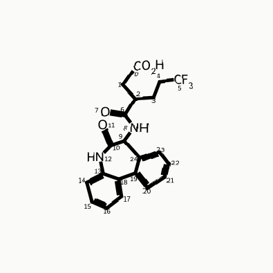 O=C(O)CC(CCC(F)(F)F)C(=O)NC1C(=O)Nc2ccccc2-c2ccccc21